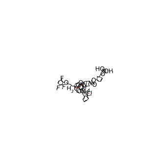 CC(C)(OC(=O)N1C2CC(c3ccc(CCCOc4c(F)ccc(F)c4F)cc3)C(C(=O)N(Cc3ccccc3Cl)C3CC3)C1CN(C(=O)Oc1cccc(CON(O)O)c1)C2)C(Cl)(Cl)Cl